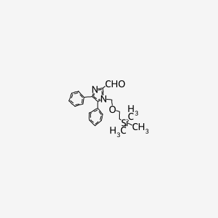 C[Si](C)(C)CCOCn1c(C=O)nc(-c2ccccc2)c1-c1ccccc1